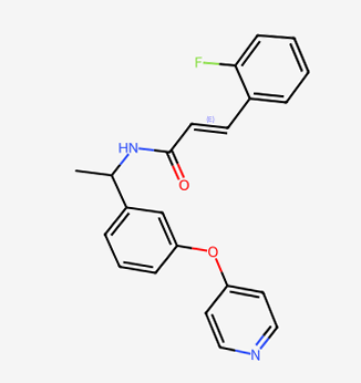 CC(NC(=O)/C=C/c1ccccc1F)c1cccc(Oc2ccncc2)c1